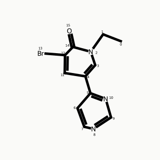 CCn1cc(-c2ccncn2)cc(Br)c1=O